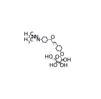 CN(C)/N=N/c1ccc(C(=O)/C=C/c2ccc(OC3O[C@@H](CO)[C@H](O)[C@@H](O)[C@@H]3O)cc2)cc1